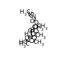 C[C@@H]1C2CC[C@]3(C)[C@H](C(=O)C=C4[C@@H]5C[C@@](C)(C(=O)O)CC[C@]5(C)CC[C@]43C)[C@@]2(C)CC[C@@H]1OC(=O)CN1CCN(C)CC1